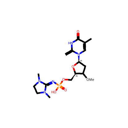 C=C1NC(=O)C(C)=CN1[C@H]1CC(OC)[C@@H](COP(=O)(O)N=C2N(C)CCN2C)O1